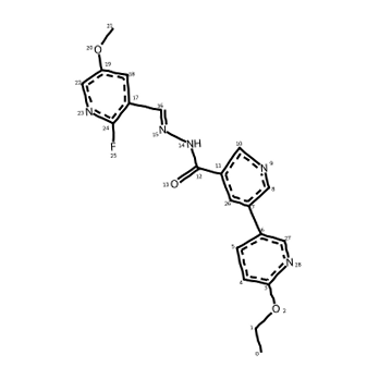 CCOc1ccc(-c2cncc(C(=O)N/N=C/c3cc(OC)cnc3F)c2)cn1